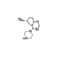 N#Cc1ccc2ncnc(N3CCNCC3)c2c1